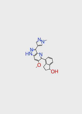 COc1cc2[nH]nc(-c3cnn(C)c3)c2nc1-c1cccc2c1CCC2O